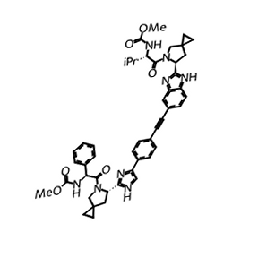 COC(=O)N[C@H](C(=O)N1CC2(CC2)C[C@H]1c1nc(-c2ccc(C#Cc3ccc4[nH]c([C@@H]5CC6(CC6)CN5C(=O)[C@@H](NC(=O)OC)C(C)C)nc4c3)cc2)c[nH]1)c1ccccc1